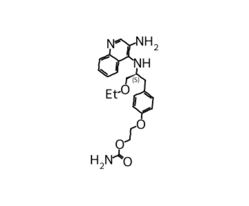 CCOC[C@H](Cc1ccc(OCCOC(N)=O)cc1)Nc1c(N)cnc2ccccc12